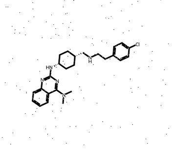 CN(C)c1nc(N[C@H]2CC[C@@H](CNCCc3ccc(Cl)cc3)CC2)nc2ccccc12